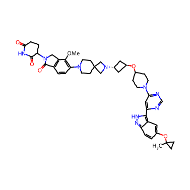 COc1c(N2CCC3(CC2)CN([C@H]2C[C@H](OC4CCN(c5cc(-c6[nH]nc7ccc(OC8(C)CC8)cc67)ncn5)CC4)C2)C3)ccc2c1CN(C1CCC(=O)NC1=O)C2=O